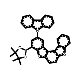 CC1(C)OB(c2cc(-n3c4ccccc4c4ccccc43)cc3c2sc2ccc4sc5ccccc5c4c23)OC1(C)C